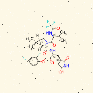 CC(C)[C@H](NC(=O)C(F)(F)F)C(=O)N1C[C@H]2[C@@H]([C@H]1C(=O)N[C@@H](C[C@@H]1CC(O)NC1=O)C(=O)COc1ccc(F)cc1F)C2(C)C